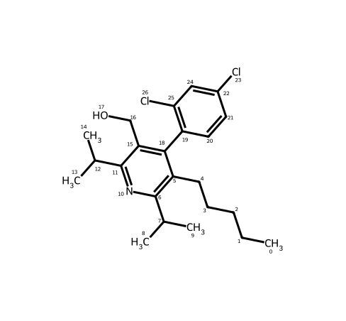 CCCCCc1c(C(C)C)nc(C(C)C)c(CO)c1-c1ccc(Cl)cc1Cl